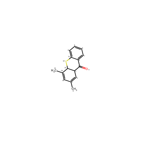 CC1=CC2C(=O)c3ccccc3SC2C(C)=C1